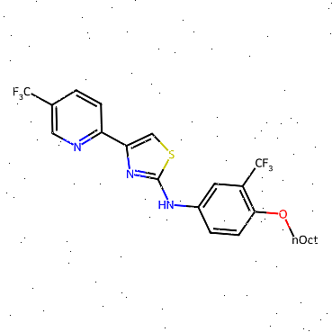 CCCCCCCCOc1ccc(Nc2nc(-c3ccc(C(F)(F)F)cn3)cs2)cc1C(F)(F)F